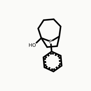 OC12CCCCC(CC1)P2c1ccccc1